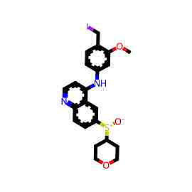 COc1cc(Nc2ccnc3ccc([S+]([O-])C4CCOCC4)cc23)ccc1CI